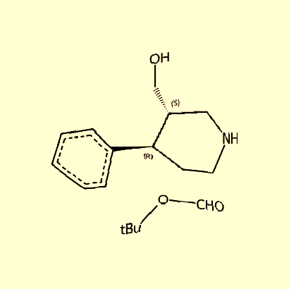 CC(C)(C)OC=O.OC[C@@H]1CNCC[C@H]1c1ccccc1